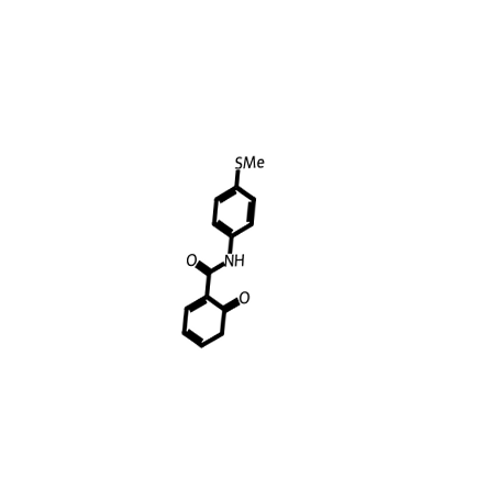 CSc1ccc(NC(=O)C2=CC=CCC2=O)cc1